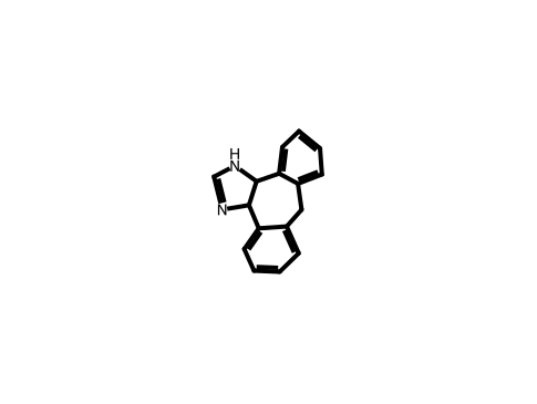 C1=NC2c3ccccc3Cc3ccccc3C2N1